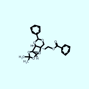 CC1(C)O[C@H]2O[C@]3(CCOC(=O)c4ccccc4)COC(c4ccccc4)O[C@@H]3[C@H]2O1